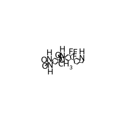 Cc1cc2[nH]c(=O)c(=O)[nH]c2cc1S(=O)(=O)Nc1ccc(-c2ccc3cc[nH]c3c2)c(C(F)(F)F)c1